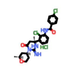 C[C@@H]1C[C@H](N2C(=N)N[C@](C)(c3cccc(NC(=O)c4ccc(Cl)cc4)c3Cl)CC2=O)CCO1.Cl